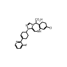 O=C(O)C1C2=C(C=C(Cl)CC2)NC=C2N1C=NN2C1CC=C(c2ncccc2F)CC1